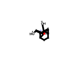 O/C=C1\C2CCC3C(C2)C3C1O